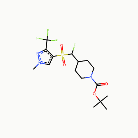 Cn1cc(S(=O)(=O)C(F)C2CCN(C(=O)OC(C)(C)C)CC2)c(C(F)(F)F)n1